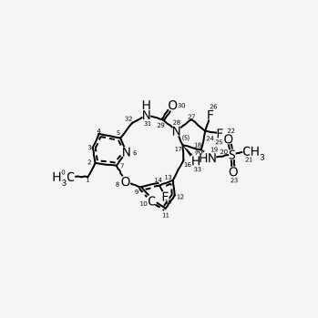 CCc1ccc2nc1Oc1cccc(c1F)C[C@H]1[C@@H](NS(C)(=O)=O)C(F)(F)CN1C(=O)NC2